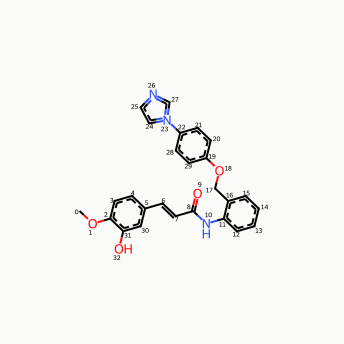 COc1ccc(/C=C/C(=O)Nc2ccccc2COc2ccc(-n3ccnc3)cc2)cc1O